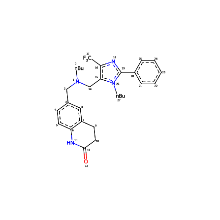 CCCCN(Cc1ccc2c(c1)CCC(=O)N2)Cc1c(C(F)(F)F)nc(-c2ccccc2)n1CCCC